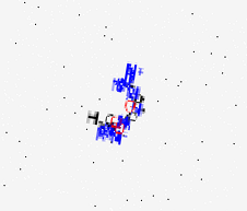 CC(CN=[N+]=[N-])(CN=[N+]=[N-])OC(=O)n1cc2c(n1)CCC(N(C(=O)c1cccc3c1cnn3CC(CN=[N+]=[N-])CN=[N+]=[N-])C1CC1)C2